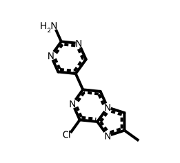 Cc1cn2cc(-c3cnc(N)nc3)nc(Cl)c2n1